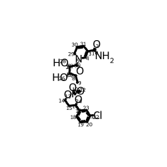 NC(=O)C1=CN([C@@H]2OC(COP3(=O)OCCC(c4cccc(Cl)c4)O3)[C@@H](O)[C@H]2O)CC=C1